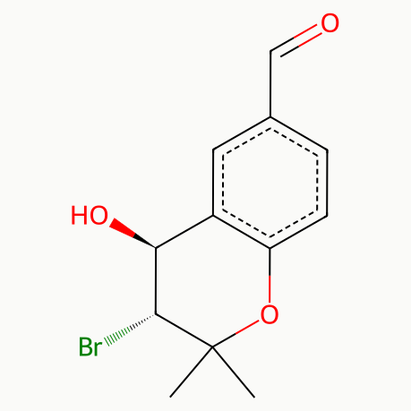 CC1(C)Oc2ccc(C=O)cc2[C@H](O)[C@H]1Br